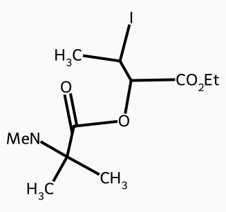 CCOC(=O)C(OC(=O)C(C)(C)NC)C(C)I